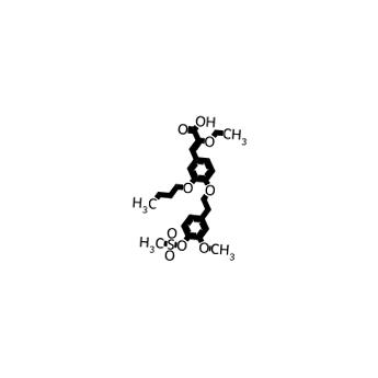 CCCCOc1cc(C=C(OCC)C(=O)O)ccc1OCCc1ccc(OS(C)(=O)=O)c(OC)c1